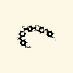 COc1ccc(C(=O)C2CCN(C(=O)c3ccc(C(=O)N[C@@H]4CCN(Cc5ccc(C(F)(F)F)cc5)C[C@@H]4F)cn3)CC2)cc1